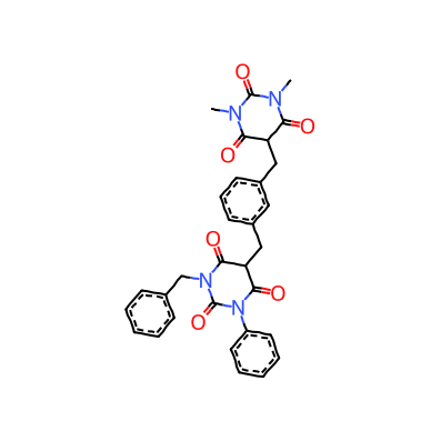 CN1C(=O)C(Cc2cccc(CC3C(=O)N(Cc4ccccc4)C(=O)N(c4ccccc4)C3=O)c2)C(=O)N(C)C1=O